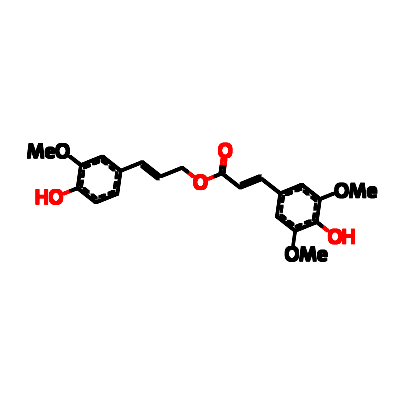 COc1cc(C=CCOC(=O)C=Cc2cc(OC)c(O)c(OC)c2)ccc1O